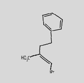 CC(C)C=C(CCc1ccccc1)C(=O)O